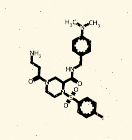 CN(C)c1ccc(CNC(=O)C2CN(C(=O)CCN)CCN2S(=O)(=O)c2ccc(I)cc2)cc1